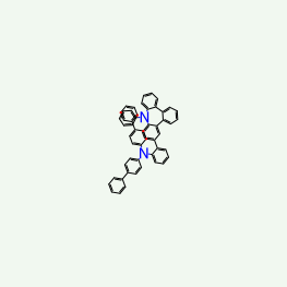 c1ccc(-c2ccc(N(c3ccc(-c4ccccc4)cc3)c3ccccc3-c3ccc4c(c3)-c3ccccc3-c3ccccc3N4c3ccccc3)cc2)cc1